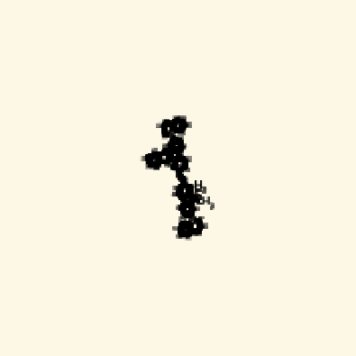 CC1(C)c2cc(/C=C/C3C=C4C(=CC3)c3ccc(N5CCCC6=C5C=CCC6)cc3C43Cc4ccccc4C3)ccc2-c2ccc(N3CCCc4ccccc43)cc21